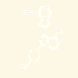 C#Cc1cccc2cc(-c3nc([C@H]4CC[C@@H](C(=O)O)CC4)n4ccnc(N)c34)oc12